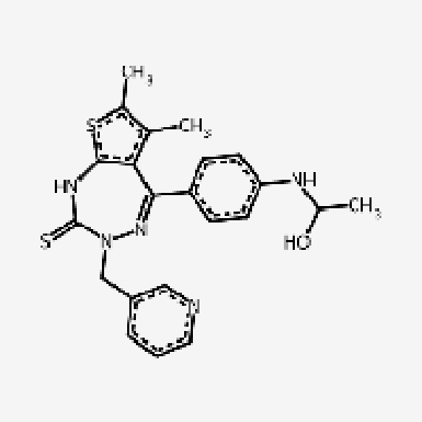 Cc1sc2c(c1C)C(c1ccc(NC(C)O)cc1)=NN(Cc1cccnc1)C(=S)N2